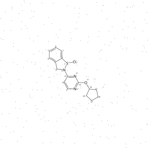 [O-][S+]1c2ccccc2CN1c1ccnc(OC2CCCC2)n1